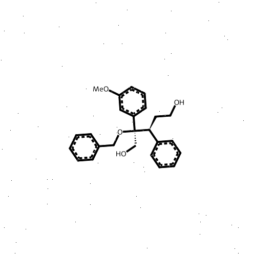 COc1cccc([C@](CO)(OCc2ccccc2)[C@@H](CCO)c2ccccc2)c1